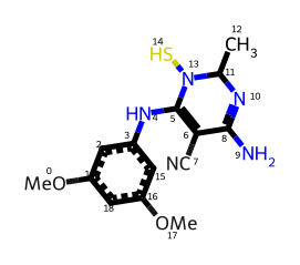 COc1cc(NC2=C(C#N)C(N)=NC(C)N2S)cc(OC)c1